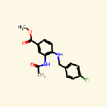 COC(=O)c1ccc(NCc2ccc(Cl)cc2)c(NC(C)=O)c1